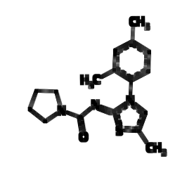 Cc1ccc(-n2cc(C)sc2=NC(=O)N2CCCC2)c(C)c1